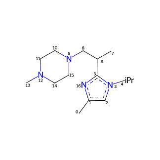 Cc1cn(C(C)C)c(C(C)CN2CCN(C)CC2)n1